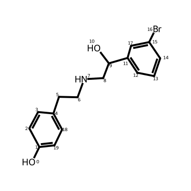 Oc1ccc(CCNCC(O)c2cccc(Br)c2)cc1